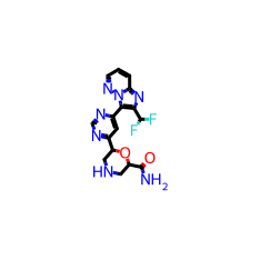 NC(=O)C1CNCC(c2cc(-c3c(C(F)F)nc4cccnn34)ncn2)O1